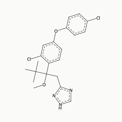 COC(Cc1nc[nH]n1)(c1ccc(Oc2ccc(Cl)cc2)cc1Cl)C(C)(C)C